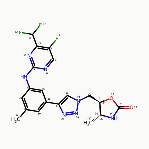 Cc1cc(Nc2ncc(F)c(C(F)F)n2)cc(-c2cn(C[C@H]3OC(=O)N[C@@H]3C)nn2)c1